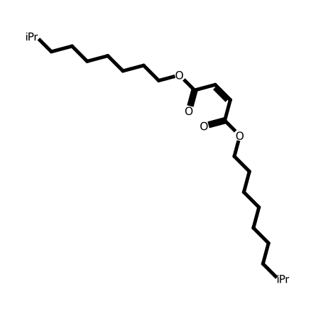 CC(C)CCCCCCCOC(=O)/C=C\C(=O)OCCCCCCCC(C)C